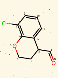 O=CC1CCOc2c(Cl)cccc21